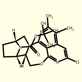 Cc1nc2c3c(nc(Cl)cc3c1C)OC[C@@H]1[C@@H]3CC[C@H](CN21)N3C(=O)OC(C)(C)C